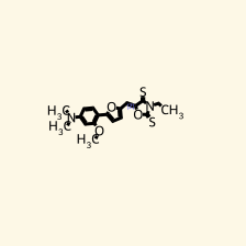 CCN1C(=S)O/C(=C\c2ccc(-c3ccc(N(C)C)cc3OC)o2)C1=S